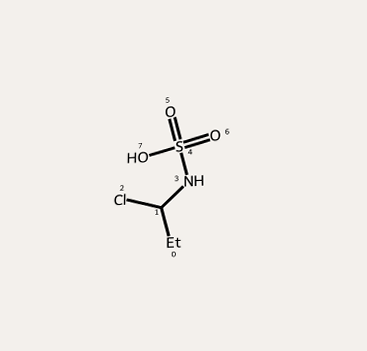 CCC(Cl)NS(=O)(=O)O